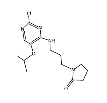 CC(C)Oc1cnc(Cl)nc1NCCCN1CCCC1=O